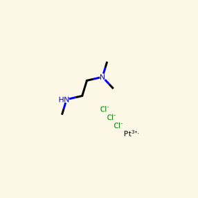 CNCCN(C)C.[Cl-].[Cl-].[Cl-].[Pt+3]